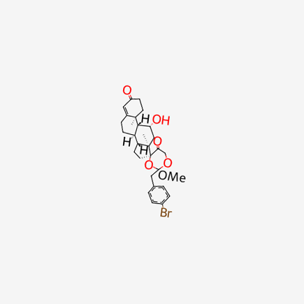 COC1(Cc2ccc(Br)cc2)OCC(=O)[C@@]2(CC[C@@H]3[C@H]4CCC5=CC(=O)CC[C@@]5(C)[C@@H]4[C@H](O)C[C@]32C)O1